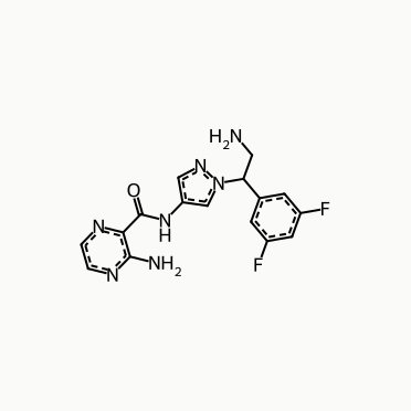 NCC(c1cc(F)cc(F)c1)n1cc(NC(=O)c2nccnc2N)cn1